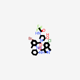 Cc1cc(Br)cc(C(=O)N2C[C@@H](O)C[C@@H](NC(=O)C(F)(F)F)C2)c1N[C@@H]1CCCC[C@@H]1NC(=O)c1cncc2cc(Cl)ccc12